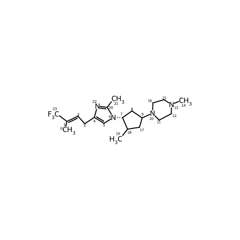 C/C(=C\Cc1cn([C@@H]2CC(N3CCN(C)CC3)CC2C)c(C)n1)C(F)(F)F